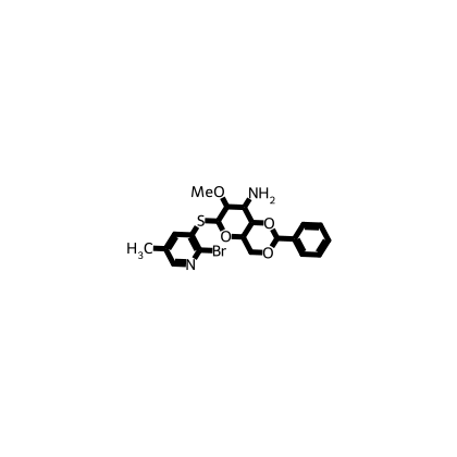 COC1C(Sc2cc(C)cnc2Br)OC2COC(c3ccccc3)OC2C1N